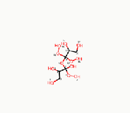 OCC(O)C(O)(OO)OC(OO)(OO)C(O)CO